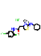 CN1/C(=N/C2CCCCC2)SCC1CC(=O)Nc1cc(Cl)ccc1Cl.Cl